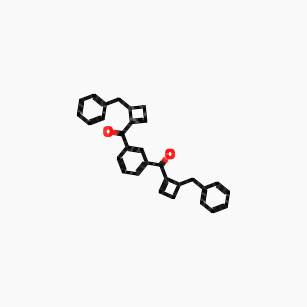 O=C(C1=CCC1Cc1ccccc1)c1cccc(C(=O)C2=CCC2Cc2ccccc2)c1